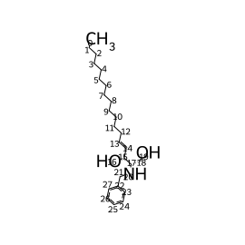 CCCCCCCCCCCCCC=C[C@@H](O)[C@H](CO)NCc1ccccc1